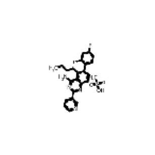 CCCCc1c(-c2ccc(F)cc2F)ccc2nc(-c3cccnc3)nc(N)c12.CS(=O)(=O)O